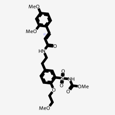 COCCOc1ccc(CCNC(=O)/C=C/c2ccc(OC)cc2OC)cc1S(=O)(=O)NC(=O)OC